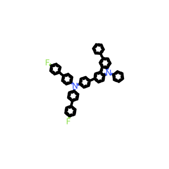 Fc1ccc(-c2ccc(N(c3ccc(-c4ccc(F)cc4)cc3)c3ccc(-c4ccc5c(c4)c4cc(-c6ccccc6)ccc4n5-c4ccccc4)cc3)cc2)cc1